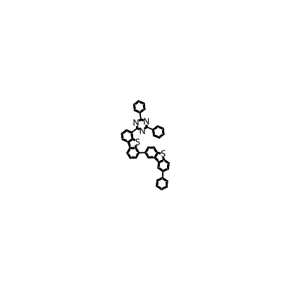 c1ccc(-c2ccc3sc4ccc(-c5cccc6c5sc5c(-c7nc(-c8ccccc8)nc(-c8ccccc8)n7)cccc56)cc4c3c2)cc1